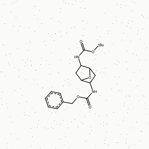 CC(C)(C)OC(=O)NC1CC2OC1CC2NC(=O)OCc1ccccc1